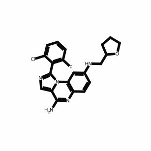 Nc1nc2ccc(NCC3CCCO3)cc2n2c(-c3c(F)cccc3Cl)ncc12